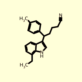 CCc1cccc2c(C(CCCC#N)c3ccc(C)cc3)c[nH]c12